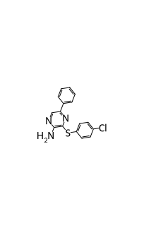 Nc1ncc(-c2ccccc2)nc1Sc1ccc(Cl)cc1